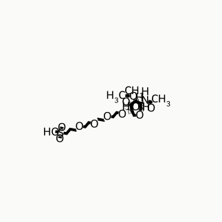 CC(=O)N[C@H]1[C@H]2OC[C@](COCCOCCOCCOCCCS(=O)(=O)O)(O2)[C@@H]2OC(C)(C)O[C@H]12